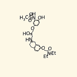 CCN(CC)C(=O)COc1ccc2c(c1)C[C@@H](NC[C@H](O)COc1ccc(O)c(NS(C)(=O)=O)c1)CC2